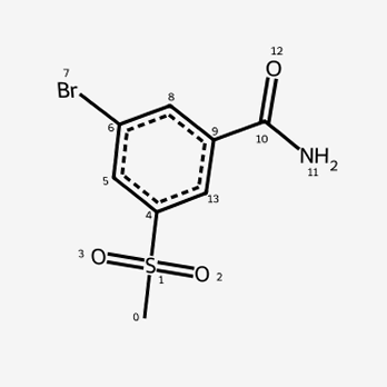 CS(=O)(=O)c1cc(Br)cc(C(N)=O)c1